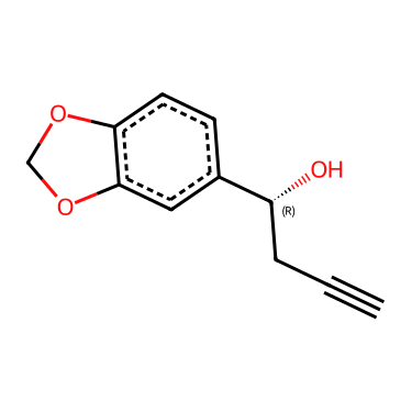 C#CC[C@@H](O)c1ccc2c(c1)OCO2